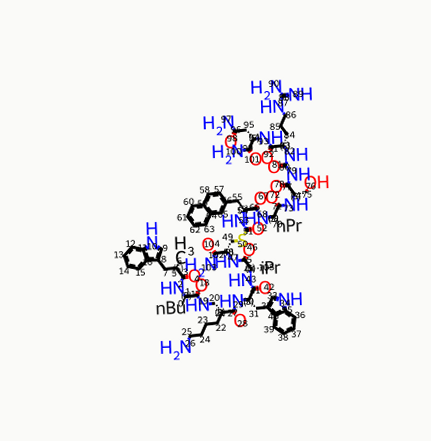 CCCC[C@@H](NC(=O)[C@@H](C)Cc1c[nH]c2ccccc12)C(=O)NC[C@@H](CCCCN)C(=O)N[C@@H](Cc1c[nH]c2ccccc12)C(=O)N[C@H](C(=O)N[C@@H](CSC(=O)N[C@@H](Cc1ccc2ccccc2c1)C(=O)N[C@@H](CCC)C(=O)N[C@@H](CO)C(=O)NC(=O)N[C@@H](CCCNC(=N)N)C(=O)N[C@@H](CC(N)=O)C(N)=O)C(N)=O)C(C)C